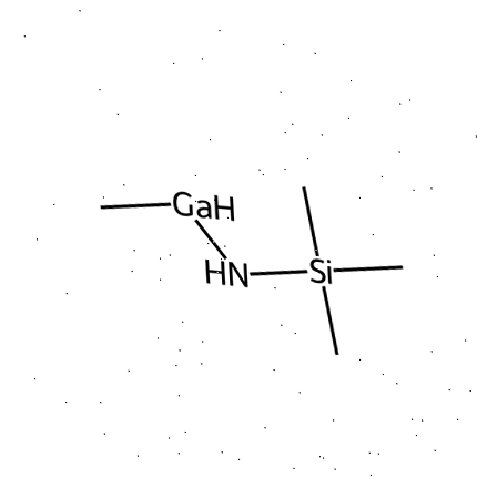 [CH3][GaH][NH][Si](C)(C)C